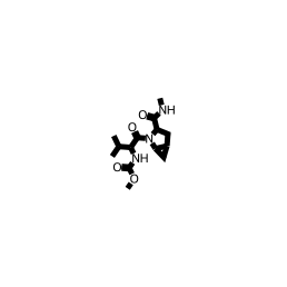 CNC(=O)C1CC2CC2N1C(=O)C(NC(=O)OC)C(C)C